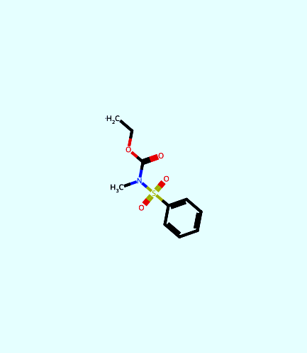 [CH2]COC(=O)N(C)S(=O)(=O)c1ccccc1